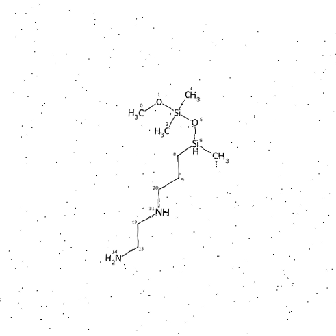 CO[Si](C)(C)O[SiH](C)CCCNCCN